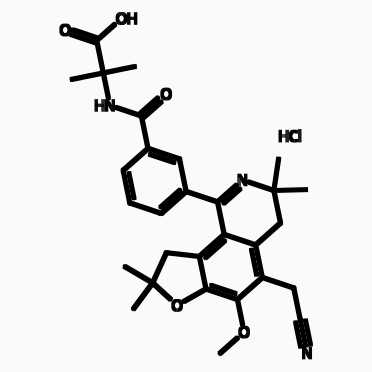 COc1c(CC#N)c2c(c3c1OC(C)(C)C3)C(c1cccc(C(=O)NC(C)(C)C(=O)O)c1)=NC(C)(C)C2.Cl